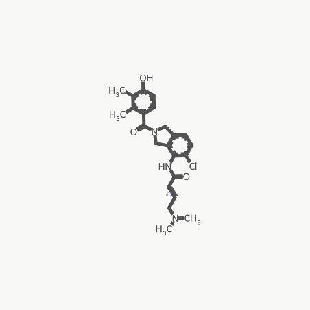 Cc1c(O)ccc(C(=O)N2Cc3ccc(Cl)c(NC(=O)/C=C/CN(C)C)c3C2)c1C